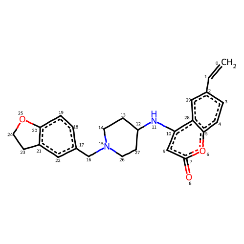 C=Cc1ccc2oc(=O)cc(NC3CCN(Cc4ccc5c(c4)CCO5)CC3)c2c1